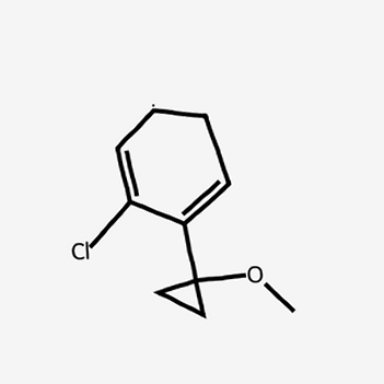 COC1(C2=CC[CH]C=C2Cl)CC1